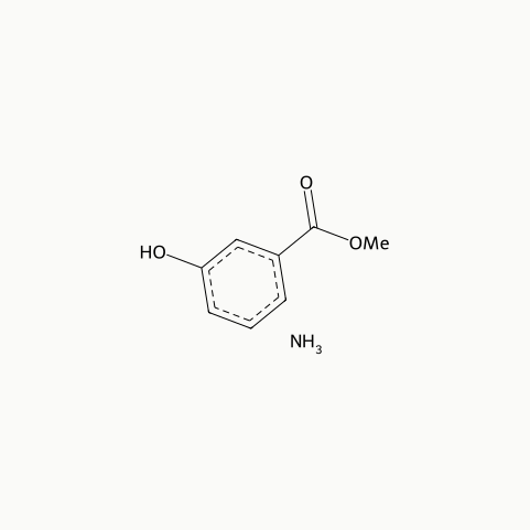 COC(=O)c1cccc(O)c1.N